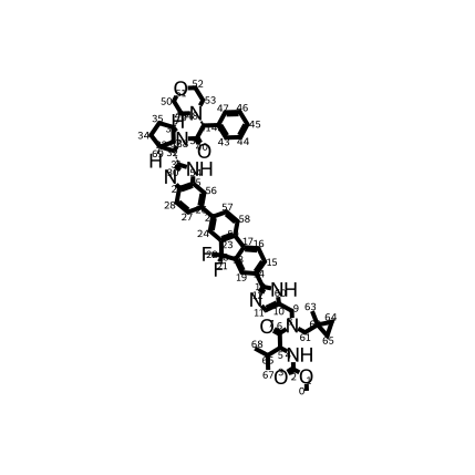 COC(=O)NC(C(=O)N(Cc1cnc(-c2ccc3c(c2)C(F)(F)c2cc(-c4ccc5nc([C@@H]6[C@H]7CC[C@H](C7)N6C(=O)[C@@H](c6ccccc6)N6CCOCC6)[nH]c5c4)ccc2-3)[nH]1)CC1(C)CC1)C(C)C